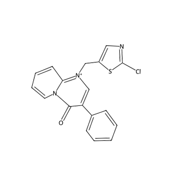 O=c1c(-c2ccccc2)c[n+](Cc2cnc(Cl)s2)c2ccccn12